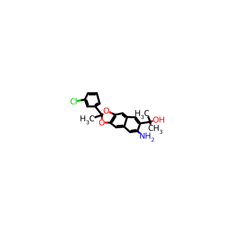 CC(C)(O)c1cc2cc3c(cc2cc1N)OC(C)(c1cccc(Cl)c1)O3